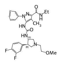 CCNC(=O)c1nn(-c2ccccc2)c(NC(=O)N[C@@H]2CN(CCOC)C[C@H]2c2ccc(F)c(F)c2)c1C